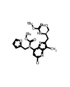 COC[C@@H](Cc1sc2c(N(Cc3ccco3)C(=O)OC(C)(C)C)cc(Cl)nc2c1C)NC(=O)OC(C)(C)C